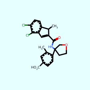 Cc1cc(C(=O)O)ccc1C1(NC(=O)C2=Cc3c(ccc(Cl)c3Cl)C2C)CCOC1